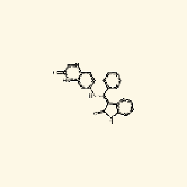 O=C1Nc2ccccc2C1=C(Nc1ccc2ncc(=O)[nH]c2c1)c1ccccc1